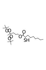 CCCCCCCC(S)C(=O)OCCCC(C)(OOC(C)(C)C)OOC(C)(C)C